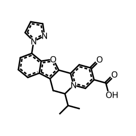 CC(C)C1Cc2c(oc3c(-n4cccn4)cccc23)-c2cc(=O)c(C(=O)O)cn21